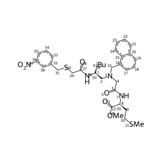 CC[C@H](C)[C@@H](CN(CC(=O)N[C@@H](CCSC)C(=O)OC)Cc1cccc2ccccc12)NC(=O)CSCc1cccc([N+](=O)[O-])c1